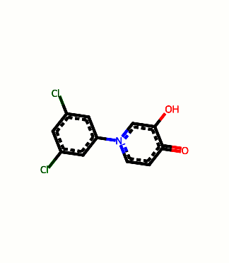 O=c1ccn(-c2cc(Cl)cc(Cl)c2)cc1O